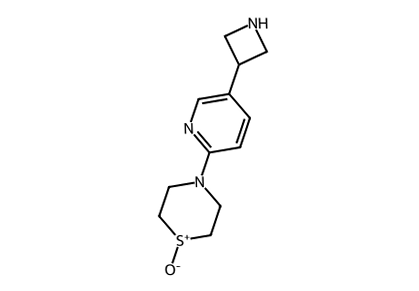 [O-][S+]1CCN(c2ccc(C3CNC3)cn2)CC1